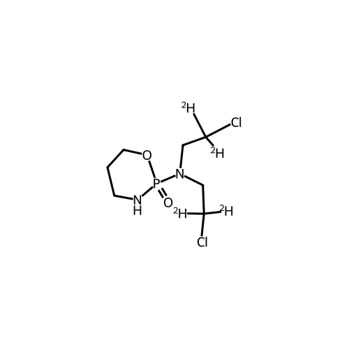 [2H]C([2H])(Cl)CN(CC([2H])([2H])Cl)P1(=O)NCCCO1